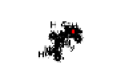 CC(C)C[C@@H](C(=O)N1CC[C@H]1C(=O)N(C)[C@@H](CC1CCCCC1)C(=O)N(C)CC(=O)N[C@@H](CC(=O)O)C(=O)N1CCCCC1)N(C)C(=O)OCC1c2ccccc2-c2ccccc21